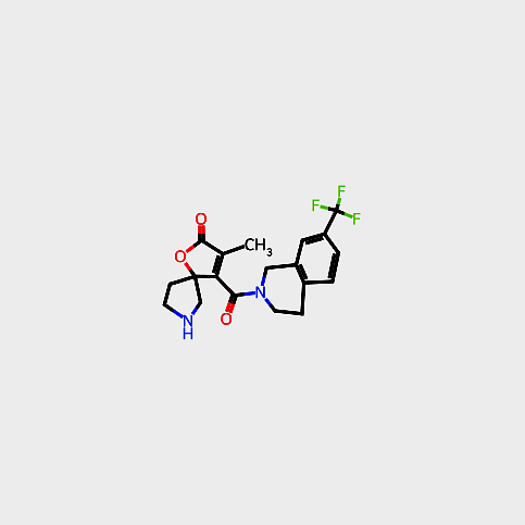 CC1=C(C(=O)N2CCc3ccc(C(F)(F)F)cc3C2)C2(CCNC2)OC1=O